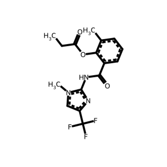 CCC(=O)Oc1c(C)cccc1C(=O)Nc1nc(C(F)(F)F)cn1C